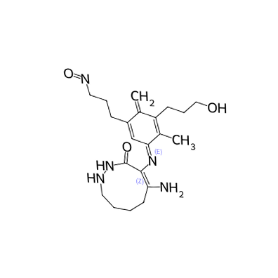 C=C1C(CCCN=O)=C/C(=N\C2=C(/N)CCCCNNC2=O)C(C)=C1CCCO